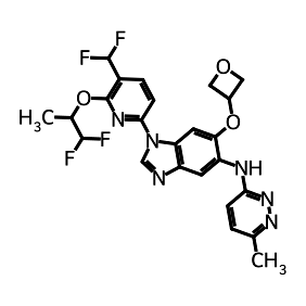 Cc1ccc(Nc2cc3ncn(-c4ccc(C(F)F)c(OC(C)C(F)F)n4)c3cc2OC2COC2)nn1